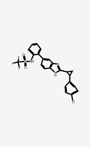 O=S(=O)(Nc1ccccc1-c1ccc2[nH]c(C3CC3c3ccc(Cl)cc3)nc2c1)C(F)(F)F